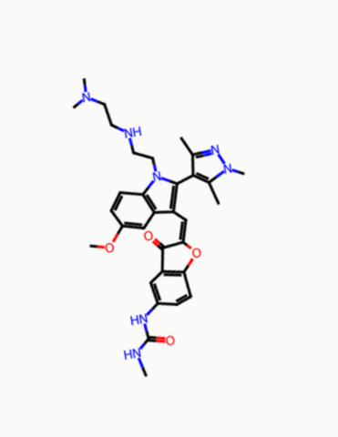 CNC(=O)Nc1ccc2c(c1)C(=O)C(=Cc1c(-c3c(C)nn(C)c3C)n(CCNCCN(C)C)c3ccc(OC)cc13)O2